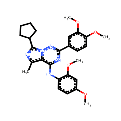 COc1ccc(Nc2nc(-c3ccc(OC)c(OC)c3)nn3c(C4CCCC4)nc(C)c23)c(OC)c1